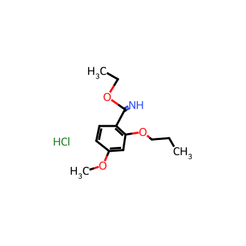 CCCOc1cc(OC)ccc1C(=N)OCC.Cl